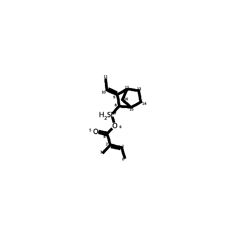 CC=C(C)C(=O)O[SiH2]C1C(=CC)C2CCC1C2